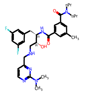 CCCN(CCC)C(=O)c1cc(C)cc(C(=O)N[C@@H](Cc2cc(F)cc(F)c2)[C@H](O)CNCc2ccnc(N(C)C)n2)c1